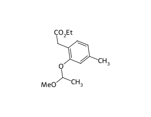 CCOC(=O)Cc1ccc(C)cc1OC(C)OC